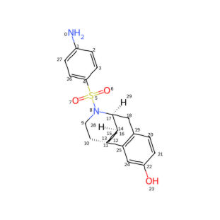 Nc1ccc(S(=O)(=O)N2CC[C@@]34CCCC[C@@H]3[C@@H]2Cc2ccc(O)cc24)cc1